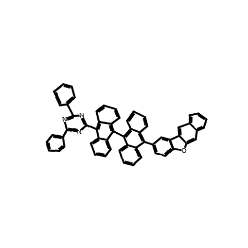 c1ccc(-c2nc(-c3ccccc3)nc(-c3c4ccccc4c(-c4c5ccccc5c(-c5ccc6oc7cc8ccccc8cc7c6c5)c5ccccc45)c4ccccc34)n2)cc1